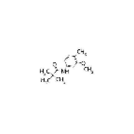 COc1cc(NC(=O)C(C)(C)C)ccc1C